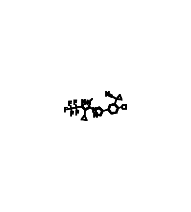 Cn1nc(C(F)(F)C(F)(F)F)c(C2CC2)c1-n1cc(-c2ccc(Cl)c(C3(C#N)CC3)c2)cn1